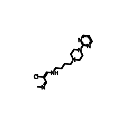 C/N=C\C(Cl)=C/NCCCCN1CCN(c2ncccn2)CC1